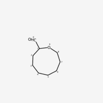 O=CC1CCCCCCCO1